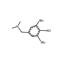 CN(C)Cc1cc(C(C)(C)C)c(N=O)c(C(C)(C)C)c1